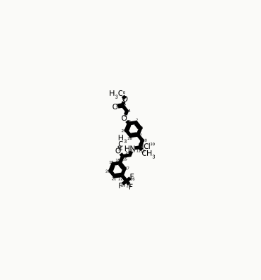 COC(=O)COc1ccc(CC(C)NCC(OC)c2cccc(C(F)(F)F)c2)cc1.Cl